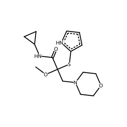 COC(CN1CCOCC1)(Sc1ccc[nH]1)C(=O)NC1CC1